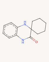 O=C1Nc2ccccc2NC12CCCCC2